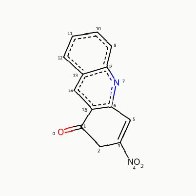 O=C1CC([N+](=O)[O-])=Cc2nc3ccccc3cc21